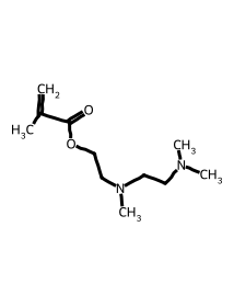 C=C(C)C(=O)OCCN(C)CCN(C)C